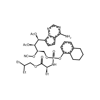 CCC(CC)COC(=O)[C@H](CC)NP(=O)(OC[C@@H](OC#N)[C@@H](OC(C)=O)[C@@H](OC(C)=O)c1ccc2c(N)ncnn12)Oc1cccc2c1CCCC2